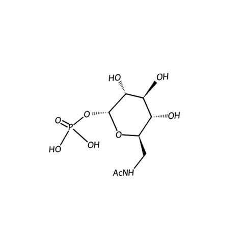 CC(=O)NC[C@H]1O[C@H](OP(=O)(O)O)[C@H](O)[C@@H](O)[C@@H]1O